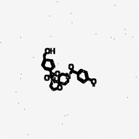 COc1ccc(C(=O)N2CCC3(CC2)OCCN3S(=O)(=O)c2ccc(CO)cc2)cc1